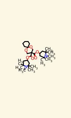 CN1C(C)(C)CC(OC(=O)C2(C(=O)OC3CC(C)(C)N(C)C(C)(C)C3)COC3(CCCCC3)OC2)CC1(C)C